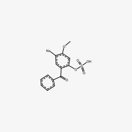 COc1cc(OS(=O)(=O)O)c(C(=O)c2ccccc2)c[c]1[Na]